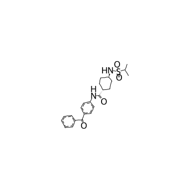 CC(C)S(=O)(=O)N[C@H]1CC[C@H](C(=O)Nc2ccc(C(=O)c3ccccc3)cc2)CC1